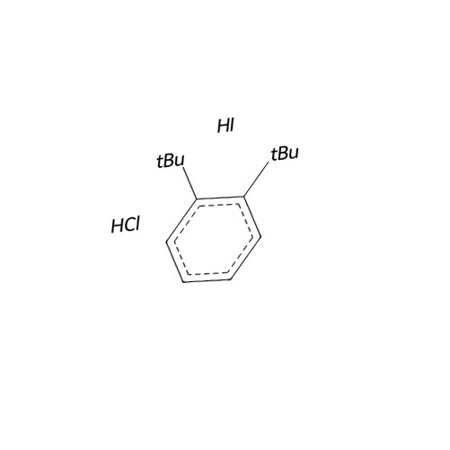 CC(C)(C)c1ccccc1C(C)(C)C.Cl.I